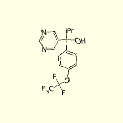 CC(C)C(O)(c1ccc(OC(F)(F)C(F)(F)F)cc1)c1cncnc1